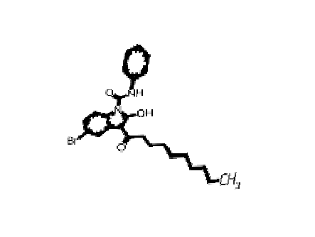 CCCCCCCCCC(=O)c1c(O)n(C(=O)Nc2ccccc2)c2ccc(Br)cc12